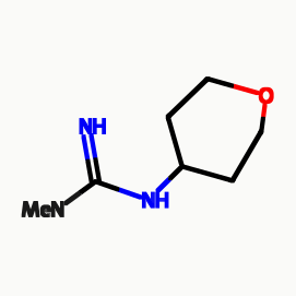 CNC(=N)NC1CCOCC1